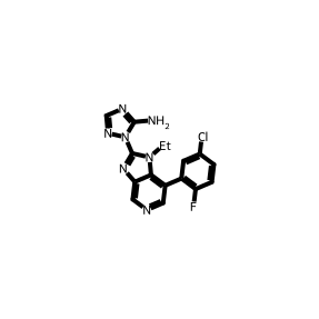 CCn1c(-n2ncnc2N)nc2cncc(-c3cc(Cl)ccc3F)c21